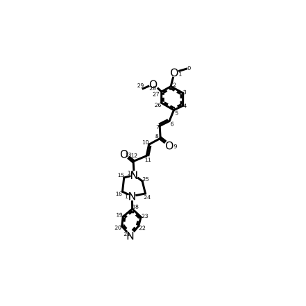 COc1ccc(/C=C/C(=O)/C=C/C(=O)N2CCN(c3ccncc3)CC2)cc1OC